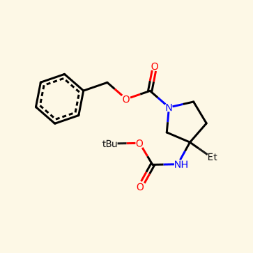 CCC1(NC(=O)OC(C)(C)C)CCN(C(=O)OCc2ccccc2)C1